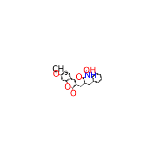 COc1ccc2cc(CC(Cc3ccccc3)C(=O)NO)c(=O)oc2c1